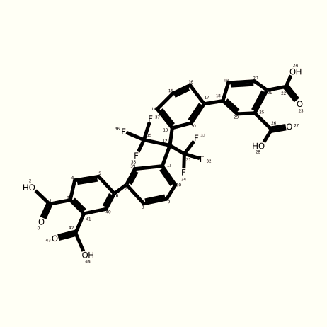 O=C(O)c1ccc(-c2cccc(C(c3cccc(-c4ccc(C(=O)O)c(C(=O)O)c4)c3)(C(F)(F)F)C(F)(F)F)c2)cc1C(=O)O